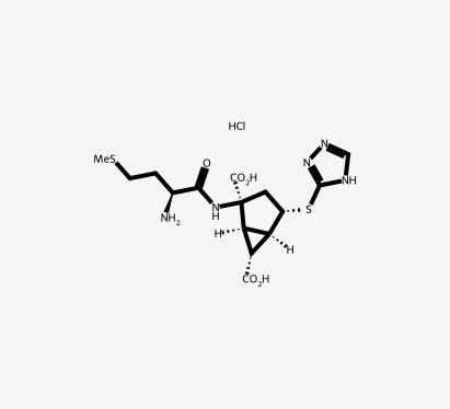 CSCC[C@H](N)C(=O)N[C@@]1(C(=O)O)C[C@H](Sc2nnc[nH]2)[C@H]2[C@H](C(=O)O)[C@H]21.Cl